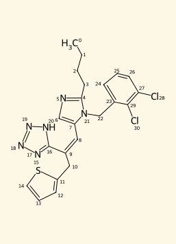 CCCCc1ncc(C=C(Cc2cccs2)c2nnn[nH]2)n1Cc1cccc(Cl)c1Cl